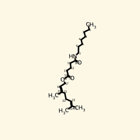 CCCCCCCCNC(=O)CCCC(=O)OCC=C(C)CCC=C(C)C